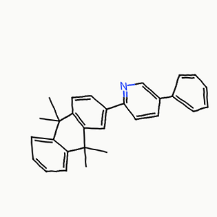 CC1(C)c2ccccc2C(C)(C)c2cc(-c3ccc(-c4ccccc4)cn3)ccc21